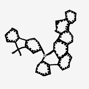 CC1(C)c2ccccc2-c2ccc(N(c3ccc4ccc5c6ccccc6ccc5c4c3)c3ccccc3-c3ccccc3)cc21